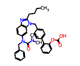 CCCCc1nc2ccc(N(Cc3ccccc3)C(=O)N(C)C)cc2n1Cc1ccc(-c2ccccc2OC(=O)O)cc1